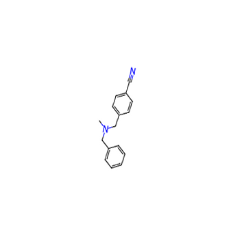 CN(Cc1ccccc1)Cc1ccc(C#N)cc1